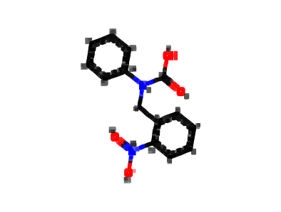 O=C(O)N(Cc1ccccc1[N+](=O)[O-])c1ccccc1